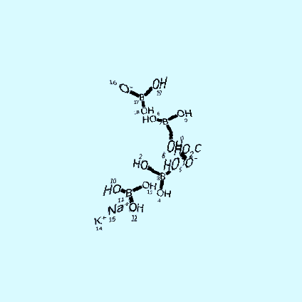 O=C([O-])O.OB(O)O.OB(O)O.OB(O)O.[K+].[Na+].[O-]B(O)O